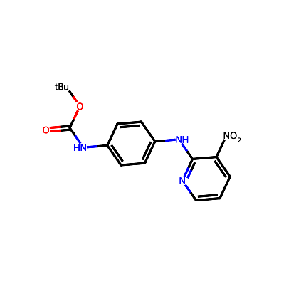 CC(C)(C)OC(=O)Nc1ccc(Nc2ncccc2[N+](=O)[O-])cc1